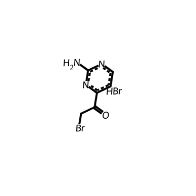 Br.Nc1nccc(C(=O)CBr)n1